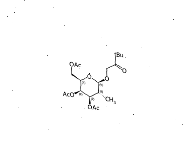 CC(=O)OC[C@H]1O[C@@H](OCC(=O)C(C)(C)C)[C@H](C)[C@@H](OC(C)=O)[C@H]1OC(C)=O